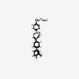 CCCCCOC1CCC([Si@H]2CC[C@H](c3ccc(-c4ccc(F)c(F)c4)cc3)CC2)CC1